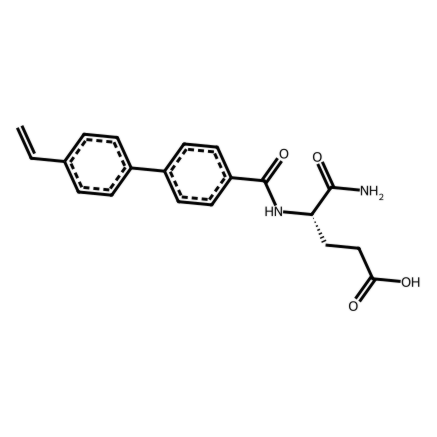 C=Cc1ccc(-c2ccc(C(=O)N[C@@H](CCC(=O)O)C(N)=O)cc2)cc1